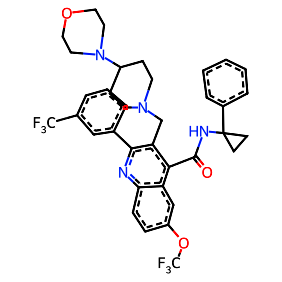 O=C(NC1(c2ccccc2)CC1)c1c(CN2CCC(N3CCOCC3)CC2)c(-c2cccc(C(F)(F)F)c2)nc2ccc(OC(F)(F)F)cc12